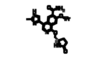 Cc1nc(-c2cnc(OC[C@@H]3CCC(=O)N3)c3cc(OC(C)C)c(C(N)=O)cc23)c[nH]1